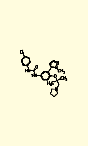 Cn1nccc1-c1cc(NC(=O)Nc2ccc(Cl)cc2)ccc1OC(C)(C)CN1CCCC1